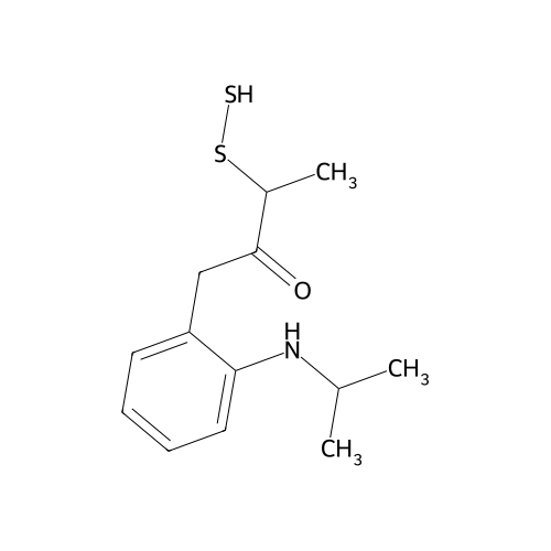 CC(C)Nc1ccccc1CC(=O)C(C)SS